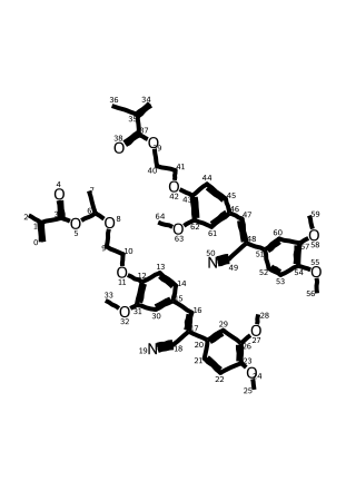 C=C(C)C(=O)OC(C)OCCOc1ccc(C=C(C#N)c2ccc(OC)c(OC)c2)cc1OC.C=C(C)C(=O)OCCOc1ccc(C=C(C#N)c2ccc(OC)c(OC)c2)cc1OC